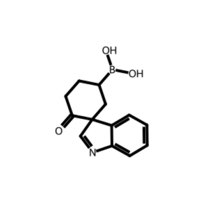 O=C1CCC(B(O)O)CC12C=Nc1ccccc12